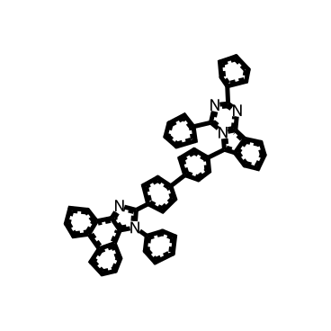 c1ccc(-c2nc(-c3ccccc3)n3c(-c4ccc(-c5ccc(-c6nc7c8ccccc8c8ccccc8c7n6-c6ccccc6)cc5)cc4)c4ccccc4c3n2)cc1